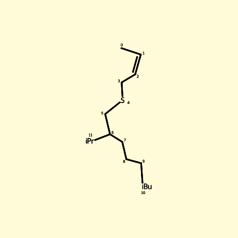 C/C=C\CSCC(CCCC(C)CC)C(C)C